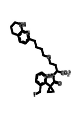 O=C(O)C(CCOCCCCc1ccc2c(n1)NCCC2)NC(=O)C1(c2ncccc2CF)CC1